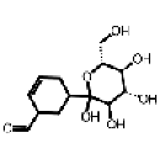 O=CC1C=CCC(C2(O)O[C@H](CO)[C@@H](O)[C@H](O)[C@H]2O)C1